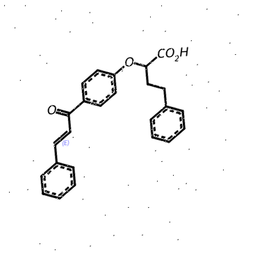 O=C(/C=C/c1ccccc1)c1ccc(OC(CCc2ccccc2)C(=O)O)cc1